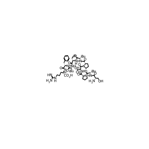 CC[C@H](C)[C@H](NC(=O)[C@H](CC(C)C)NC(=O)[C@@H](NC(=O)[C@@H]1CCCN1C(=O)[C@@H](NC(=O)[C@@H]1CCCN1C(=O)[C@@H](NC(=O)[C@@H](N)CO)[C@@H](C)CC)[C@@H](C)O)[C@@H](C)CC)C(=O)N[C@@H](Cc1ccccc1)C(=O)N[C@@H](CCCNC(=N)N)C(=O)O